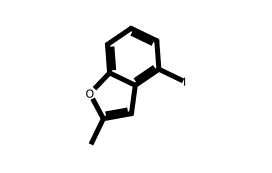 Cc1cc2c(I)cccc2o1